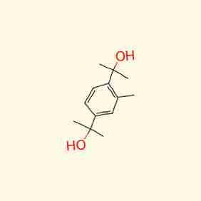 Cc1cc(C(C)(C)O)ccc1C(C)(C)O